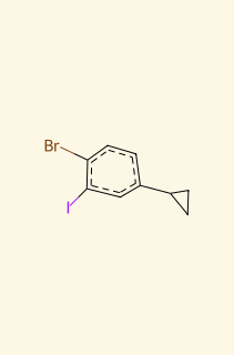 Brc1ccc(C2CC2)cc1I